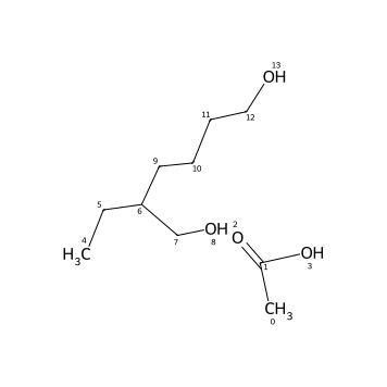 CC(=O)O.CCC(CO)CCCCO